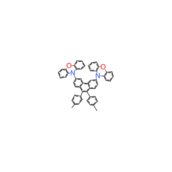 Cc1ccc(-c2c(-c3ccc(C)cc3)c3ccc(N4c5ccccc5Oc5ccccc54)cc3c3cc(N4c5ccccc5Oc5ccccc54)ccc23)cc1